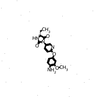 CC[C@H]1NC(=O)N(c2ccc(Oc3ccc(N)c(OC)c3)nc2)C1=O